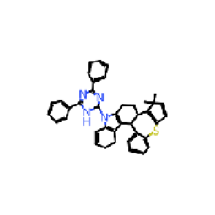 CC1(C)C=CC2=C1C1CCc3c(c4c(n3C3N=C(c5ccccc5)N=C(c5ccccc5)N3)C=CCC4)C1c1ccccc1S2